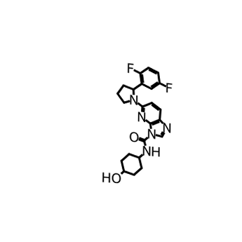 O=C(NC1CCC(O)CC1)n1cnc2ccc(N3CCCC3c3cc(F)ccc3F)nc21